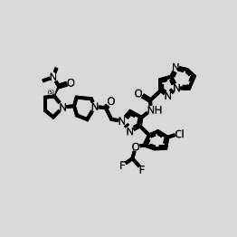 CN(C)C(=O)[C@@H]1CCCN1C1CCN(C(=O)Cn2cc(NC(=O)c3cc4ncccn4n3)c(-c3cc(Cl)ccc3OC(F)F)n2)CC1